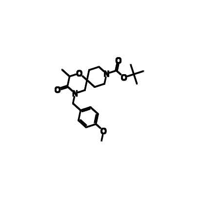 COc1ccc(CN2CC3(CCN(C(=O)OC(C)(C)C)CC3)OC(C)C2=O)cc1